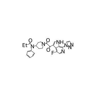 CCC(=O)N(c1ccccc1)C1CCN(C(=O)C(=O)c2c[nH]c3c(-n4ccnn4)ncc(F)c23)CC1